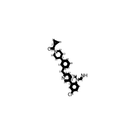 N=CN(N)c1ccc(Cl)cc1-c1ccc(Cc2cccc(C3CCN(C(=O)C4CC4)CC3)c2)nc1